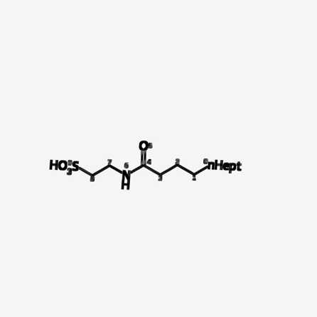 CCCCCCCCCCC(=O)NCCS(=O)(=O)O